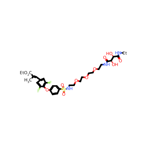 CCNC(=O)[C@H](O)[C@@H](O)C(=O)NCCOCCOCCOCCNS(=O)(=O)c1ccc(Oc2c(F)cc(/C=C(\C)C(=O)OCC)cc2F)cc1